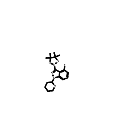 CC1(C)OB(c2nn(C3CCCCO3)c3cccc(F)c23)OC1(C)C